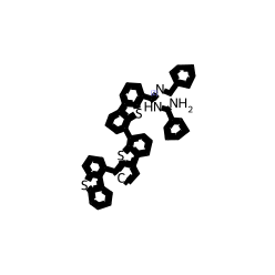 NC(N/C(=N\Cc1ccccc1)c1cccc2c1sc1c(-c3cccc4c3sc3c(-c5cccc6sc7ccccc7c56)cccc34)cccc12)c1ccccc1